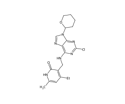 CCc1cc(C)[nH]c(=O)c1CNc1nc(Cl)nc2c1ncn2C1CCCCO1